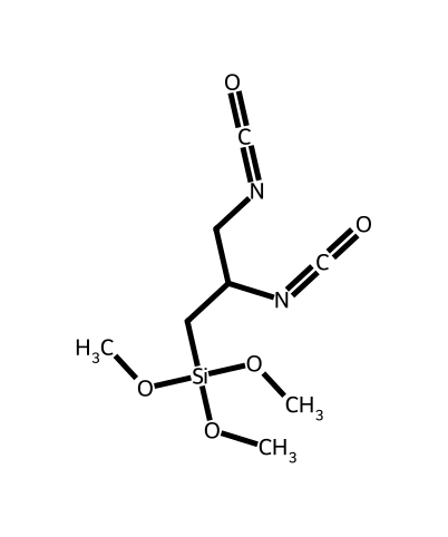 CO[Si](CC(CN=C=O)N=C=O)(OC)OC